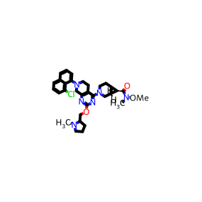 CON(C)C(=O)[C@H]1[C@@H]2CN(c3nc(OCC4CCCN4C)nc4c3CCN(c3cccc5cccc(Cl)c35)C4)CC[C@@H]21